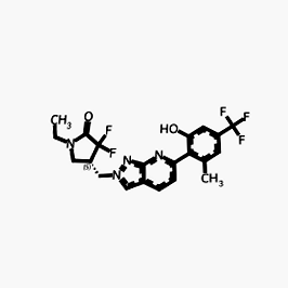 CCN1C[C@@H](Cn2cc3ccc(-c4c(C)cc(C(F)(F)F)cc4O)nc3n2)C(F)(F)C1=O